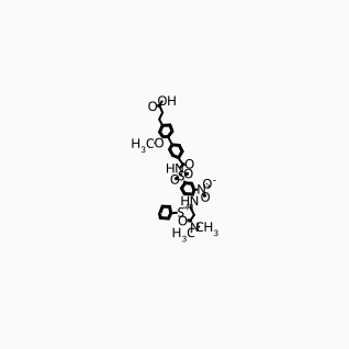 COc1cc(CCC(=O)O)ccc1-c1ccc(C(=O)NS(=O)(=O)c2ccc(N[C@@H](CSc3ccccc3)CC(=O)N(C)C)c([N+](=O)[O-])c2)cc1